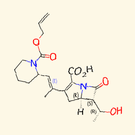 C=CCOC(=O)N1CCCCC1/C=C(\C)C1=C(C(=O)O)N2C(=O)[C@H]([C@@H](C)O)[C@H]2C1